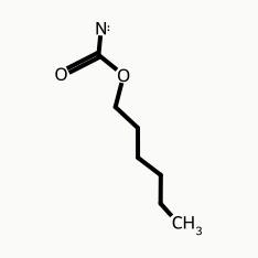 CCCCCCOC([N])=O